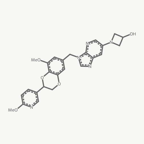 COc1ccc(C2COc3cc(Cn4cnc5cc(N6CC(O)C6)cnc54)cc(OC)c3O2)cn1